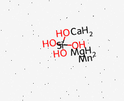 O[Si](O)(O)O.[CaH2].[MgH2].[Mn]